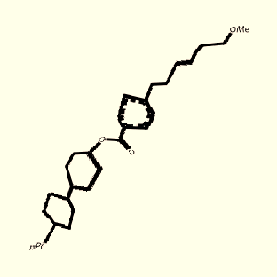 CCCC1CCC(C2CCC(OC(=O)c3ccc(CCCCCCOC)cc3)CC2)CC1